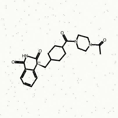 CC(=O)N1CCN(C(=O)C2CCC(C[C@@H]3C(=O)NC(=O)c4ccccc43)CC2)CC1